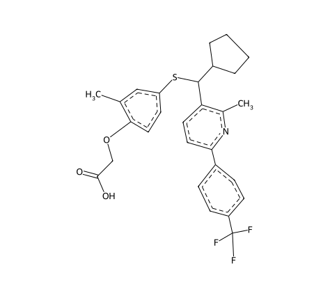 Cc1cc(SC(c2ccc(-c3ccc(C(F)(F)F)cc3)nc2C)C2CCCC2)ccc1OCC(=O)O